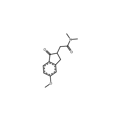 COc1ccc2c(c1)CC(CC(=O)N(C)C)C2=O